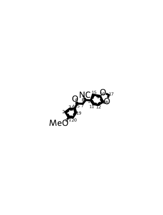 COc1ccc(C(=O)CC(C#N)c2ccc3c(c2)OCO3)cc1